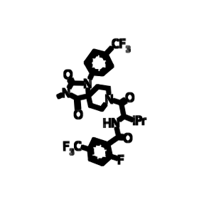 CC(C)C(NC(=O)c1cc(C(F)(F)F)ccc1F)C(=O)N1CCC2(CC1)C(=O)N(C)C(=O)N2c1ccc(C(F)(F)F)cc1